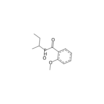 CCC(C)[PH](=O)C(=O)c1ccccc1OC